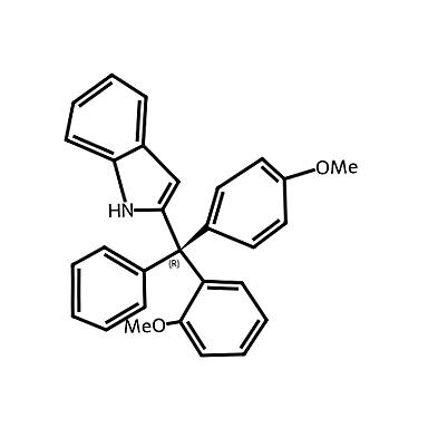 COc1ccc([C@@](c2ccccc2)(c2cc3ccccc3[nH]2)c2ccccc2OC)cc1